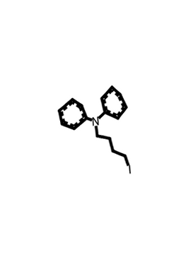 ICCCCN(c1ccccc1)c1ccccc1